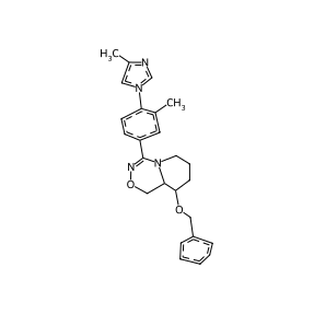 Cc1cn(-c2ccc(C3=NOCC4C(OCc5ccccc5)CCCN34)cc2C)cn1